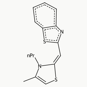 CCCN1C(C)=CSC1=Cc1nc2ccccc2s1